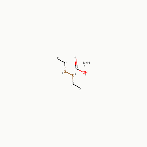 CCSSCC.O=CO.[NaH]